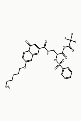 NCCCCCOc1ccn2c(=O)cc(C(=O)NC[C@H](NS(=O)(=O)c3ccccc3)C(=O)OC(=O)C(F)(F)F)cc2c1